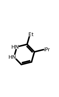 CCC1=C(C(C)C)C=CNN1